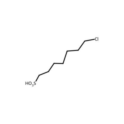 O=S(=O)(O)CCCCCCCCl